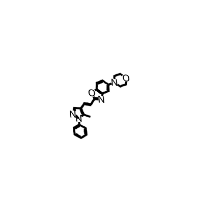 Cc1c(/C=C/c2nc3cc(N4CCOCC4)ccc3o2)cnn1-c1ccccc1